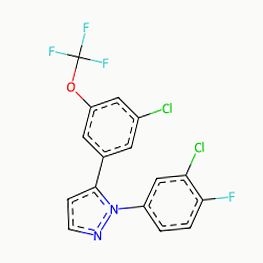 Fc1ccc(-n2nccc2-c2cc(Cl)cc(OC(F)(F)F)c2)cc1Cl